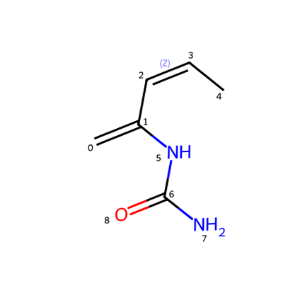 C=C(/C=C\C)NC(N)=O